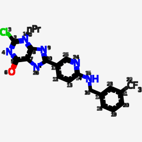 CCCn1c(Cl)nc(=O)c2c1N=C(c1ccc(NCc3cccc(C(F)(F)F)c3)nc1)[N]2